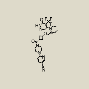 CC[C@@H](CO[C@H]1C[C@@H](C(=O)N2CCN(c3ccc(C#N)cn3)CC2)C1)N(CC)c1cn[nH]c(=O)c1C(F)(F)F